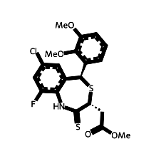 COC(=O)C[C@H]1S[C@H](c2cccc(OC)c2OC)c2cc(Cl)cc(F)c2NC1=S